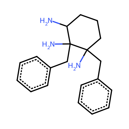 NC1CCCC(N)(Cc2ccccc2)C1(N)Cc1ccccc1